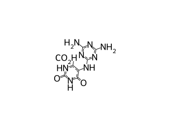 Nc1nc(N)nc(Nc2c(C(=O)O)[nH]c(=O)[nH]c2=O)n1